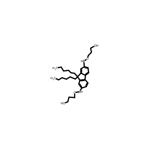 CCCCCCC1(CCCCCC)c2cc(BOCCCO)ccc2-c2ccc(BOCCCO)cc21